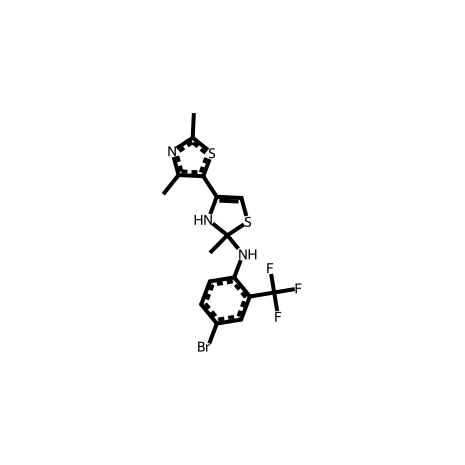 Cc1nc(C)c(C2=CSC(C)(Nc3ccc(Br)cc3C(F)(F)F)N2)s1